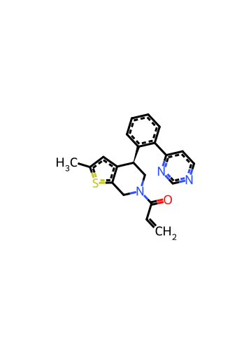 C=CC(=O)N1Cc2sc(C)cc2[C@@H](c2ccccc2-c2ccncn2)C1